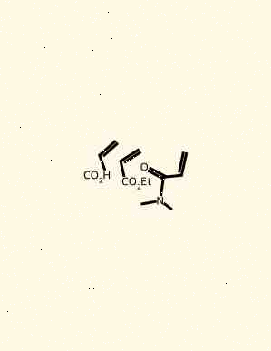 C=CC(=O)N(C)C.C=CC(=O)O.C=CC(=O)OCC